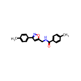 Cc1ccc(C(=O)NCc2cc(-c3ccc(C)cc3)no2)cc1